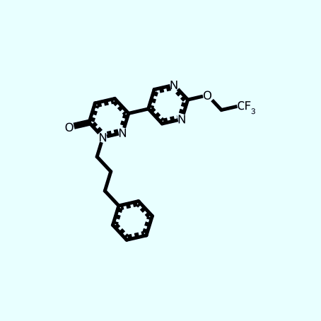 O=c1ccc(-c2cnc(OCC(F)(F)F)nc2)nn1CCCc1ccccc1